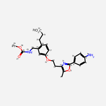 Cc1oc(-c2ccc(N)cc2)nc1CCOc1ccc(CCC(=O)O)c(CNC(=O)OC(C)C)c1